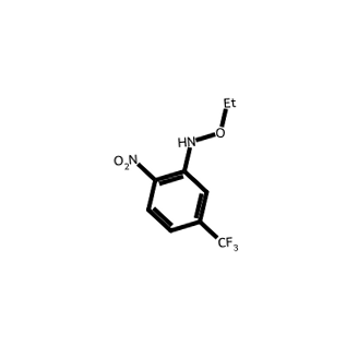 CCONc1cc(C(F)(F)F)ccc1[N+](=O)[O-]